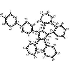 Brc1ccc(-c2ccc(-n3c4c5ccccc5c5ccccc5c4c4c5ccccc5c5ccccc5c43)cc2)cc1